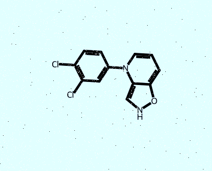 Clc1ccc(N2C=CC=C3ONC=C32)cc1Cl